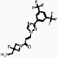 NCC1(F)CN(C(=O)C=Cn2cnc(-c3cc(C(F)(F)F)cc(C(F)(F)F)c3)n2)C1